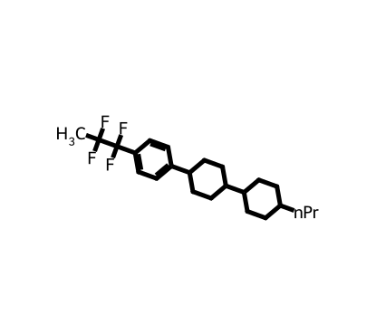 CCCC1CCC(C2CCC(c3ccc(C(F)(F)C(C)(F)F)cc3)CC2)CC1